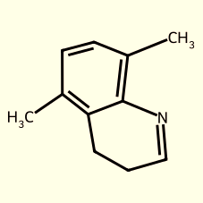 Cc1ccc(C)c2c1CCC=N2